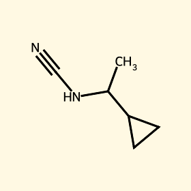 CC(NC#N)C1CC1